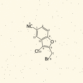 N#Cc1ccc2oc(CBr)c(Cl)c2c1